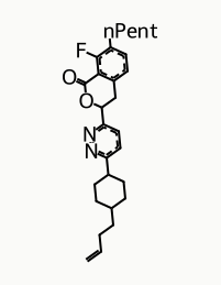 C=CCCC1CCC(c2ccc(C3Cc4ccc(CCCCC)c(F)c4C(=O)O3)nn2)CC1